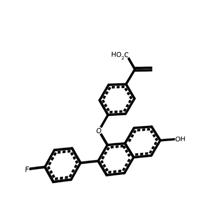 C=C(C(=O)O)c1ccc(Oc2c(-c3ccc(F)cc3)ccc3cc(O)ccc23)cc1